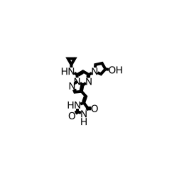 O=C1NC(=O)/C(=C/c2cnn3c(NC4CC4)cc(N4CCC(O)C4)nc23)N1